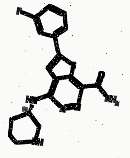 NC(=O)c1nnc(N[C@H]2CCCNC2)c2cc(-c3cccc(F)c3)sc12